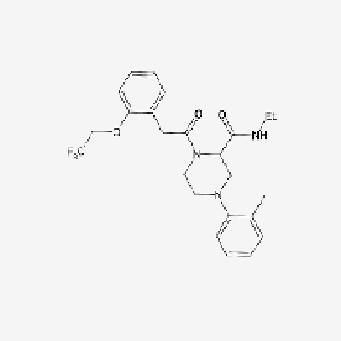 CCNC(=O)C1CN(c2ccccc2C)CCN1C(=O)Cc1ccccc1OCC(F)(F)F